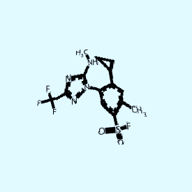 CNc1nc(C(F)(F)F)nn1-c1cc(S(=O)(=O)F)c(C)cc1C1CC1